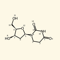 O=C1CCN([C@H]2C[C@@H](O)[C@@H](CO)O2)C(=O)N1